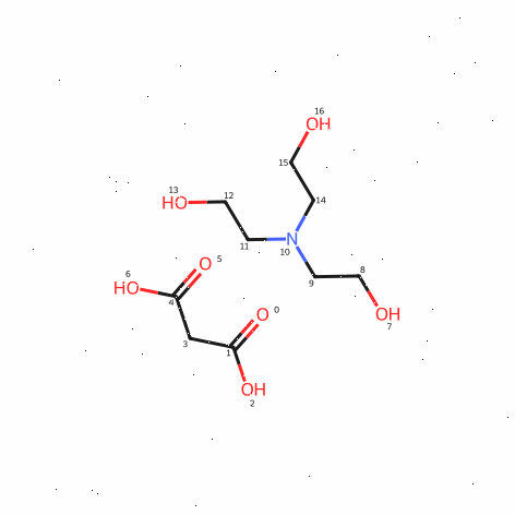 O=C(O)CC(=O)O.OCCN(CCO)CCO